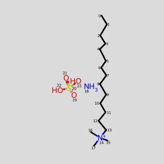 CCCCCCCCCCCCCC[N+](C)(C)C.N.O=S(=O)(O)O